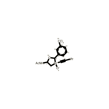 CC(=O)NC1C[N+]([O-])(C#CC(C)C)C(c2cccc(C(Cl)(Cl)Cl)c2)O1